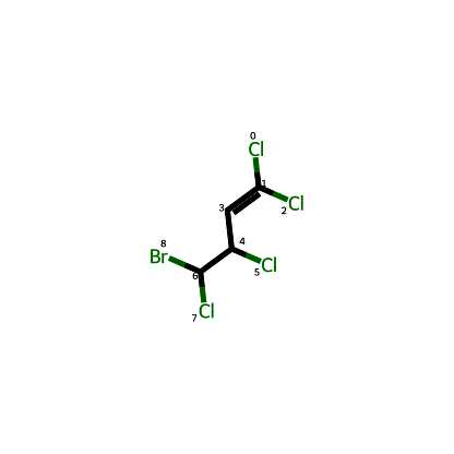 ClC(Cl)=CC(Cl)C(Cl)Br